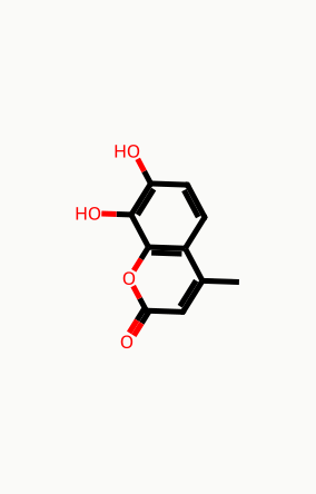 Cc1cc(=O)oc2c(O)c(O)ccc12